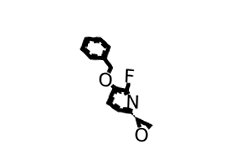 Fc1nc([C@@H]2CO2)ccc1OCc1ccccc1